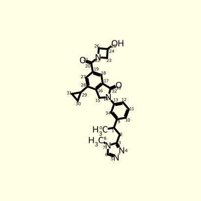 CC(Cc1nncn1C)c1cccc(N2Cc3c(cc(C(=O)N4CC(O)C4)cc3C3CC3)C2=O)c1